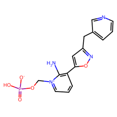 Nc1c(-c2cc(Cc3cccnc3)no2)ccc[n+]1COP(=O)([O-])O